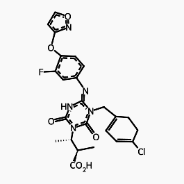 C[C@@H](C(=O)O)[C@H](C)n1c(=O)[nH]/c(=N\c2ccc(Oc3ccon3)c(F)c2)n(CC2=CC=C(Cl)CC2)c1=O